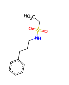 O=C(O)CS(=O)(=O)NCCCc1ccccc1